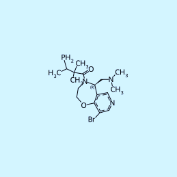 CC(P)C(C)(C)C(=O)N1CCOc2c(Br)cncc2[C@@H]1CN(C)C